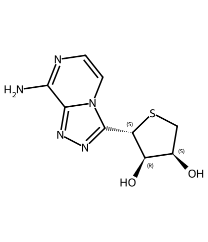 Nc1nccn2c([C@@H]3SC[C@@H](O)[C@H]3O)nnc12